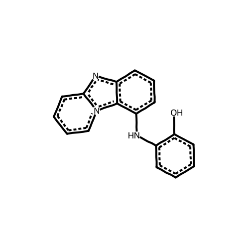 Oc1ccccc1Nc1cccc2nc3ccccn3c12